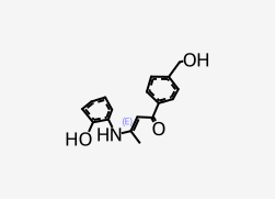 C/C(=C\C(=O)c1ccc(CO)cc1)Nc1ccccc1O